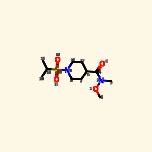 CON(C)C(=O)C1CCN(S(=O)(=O)C(C)C)CC1